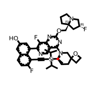 CC(C)[Si](C#Cc1c(F)ccc2cc(O)cc(-c3ncc4c(N5CCCC6(CCO6)C5)nc(OC[C@@]56CCCN5C[C@H](F)C6)nc4c3F)c12)(C(C)C)C(C)C